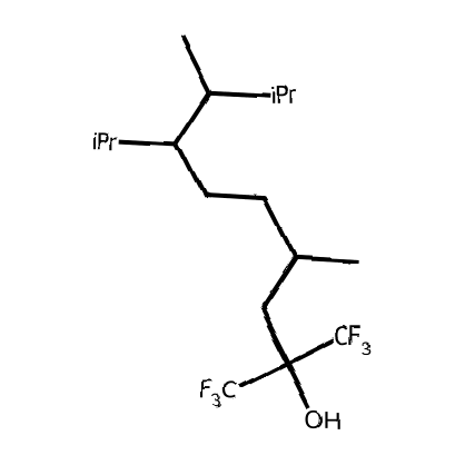 CC(CCC(C(C)C)C(C)C(C)C)CC(O)(C(F)(F)F)C(F)(F)F